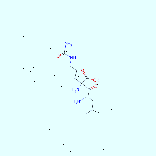 CC(C)CC(N)C(=O)C(N)(CCCNC(N)=O)C(=O)O